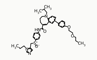 CCCOCCOc1ccc(-c2ccc3c(c2)C=C(C(=O)Nc2ccc([S+]([O-])Cc4cncn4CCC)cc2)CCCN3CC(C)C)cc1